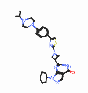 CC(C)N1CCN(c2ccc(-c3csc(N4CC(c5nc6c(cnn6C6CCCCC6)c(=O)[nH]5)C4)n3)cc2)CC1